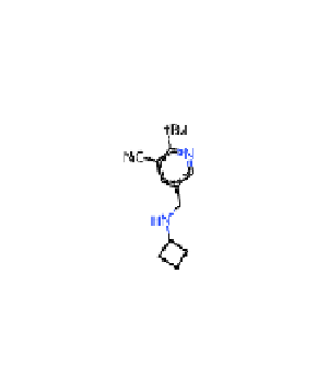 CC(C)(C)c1ncc(CNC2CCC2)cc1C#N